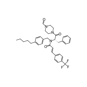 CCCCCc1ccc(CN(C(=O)C=Cc2ccc(C(F)(F)F)cc2)[C@@H](Cc2ccccc2)C(=O)N2CCN(C=O)CC2)cc1